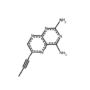 CC#Cc1cnc2nc(N)nc(N)c2n1